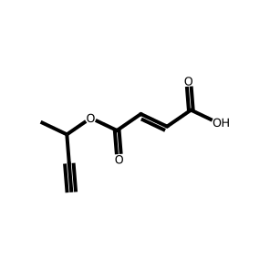 C#CC(C)OC(=O)/C=C/C(=O)O